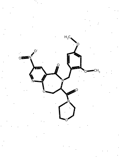 COc1ccc(CN2C(=O)c3cc([N+](=O)[O-])cnc3OCC2C(=O)N2CCOCC2)c(OC)c1